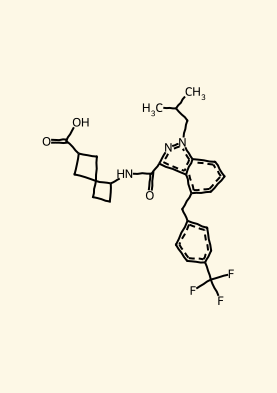 CC(C)Cn1nc(C(=O)NC2CCC23CC(C(=O)O)C3)c2c(Cc3ccc(C(F)(F)F)cc3)cccc21